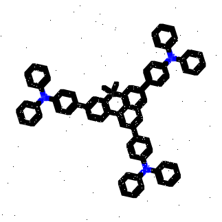 C[Si]1(C)c2cc(-c3ccc(N(c4ccccc4)c4ccccc4)cc3)ccc2-c2cc(-c3ccc(N(c4ccccc4)c4ccccc4)cc3)cc3cc(-c4ccc(N(c5ccccc5)c5ccccc5)cc4)cc1c23